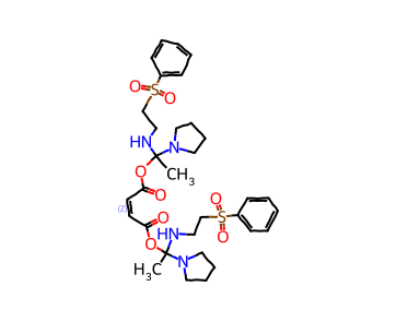 CC(NCCS(=O)(=O)c1ccccc1)(OC(=O)/C=C\C(=O)OC(C)(NCCS(=O)(=O)c1ccccc1)N1CCCC1)N1CCCC1